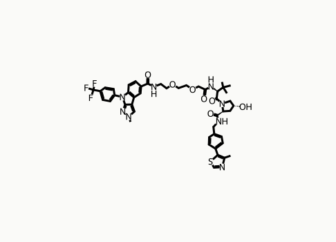 Cc1ncsc1-c1ccc(CNC(=O)[C@@H]2C[C@@H](O)CN2C(=O)[C@@H](NC(=O)COCCOCCNC(=O)c2ccc3c(c2)c2cn(C)nc2n3-c2ccc(C(F)(F)F)cc2)C(C)(C)C)cc1